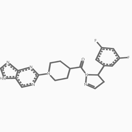 O=C(C1CCN(c2ncc3[nH]cnc3n2)CC1)N1N=CCC1c1cc(F)cc(F)c1